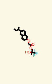 CCC(C)c1ccc2cc(OCC(=O)OCC(C)(O)C(F)(F)F)ccc2c1